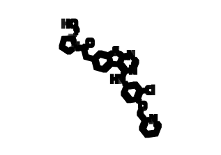 O=C(Cc1ccc2c(c1)sc1ncnc(Nc3ccc(OCc4ccccn4)c(Cl)c3)c12)N1CCC[C@@H]1CO